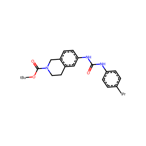 CC(C)c1ccc(NC(=O)Nc2ccc3c(c2)CCN(C(=O)OC(C)(C)C)C3)cc1